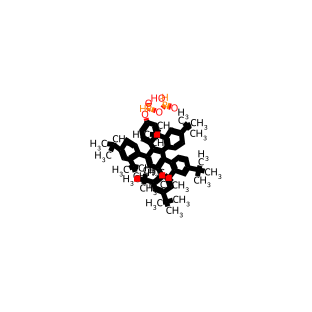 CC(C)(C)c1ccc(-c2cc(-c3ccc(C(C)(C)C)cc3C(C)(C)C)c(-c3ccc(C(C)(C)C)cc3C(C)(C)C)c(-c3ccc(C(C)(C)C)cc3C(C)(C)C)c2-c2ccc(O[PH](=O)O[PH](=O)O)cc2)c(C(C)(C)C)c1